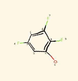 [O]c1cc(F)cc(F)c1F